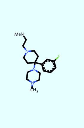 CNCCN1CCC(c2cccc(F)c2)(N2CCN(C)CC2)CC1